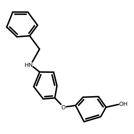 Oc1ccc(Oc2ccc(NCc3ccccc3)cc2)cc1